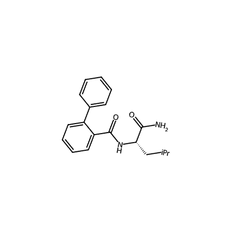 CC(C)C[C@H](NC(=O)c1ccccc1-c1ccccc1)C(N)=O